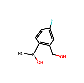 N#CB(O)c1ccc(F)cc1CO